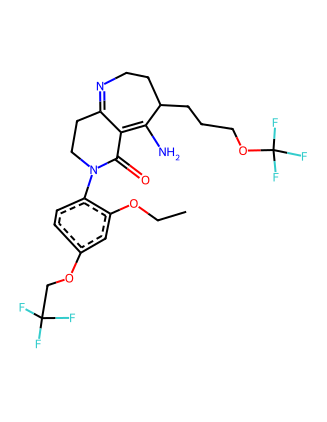 CCOc1cc(OCC(F)(F)F)ccc1N1CCC2=NCCC(CCCOC(F)(F)F)C(N)=C2C1=O